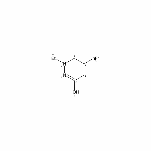 CCCC1CC(O)=NN(CC)C1